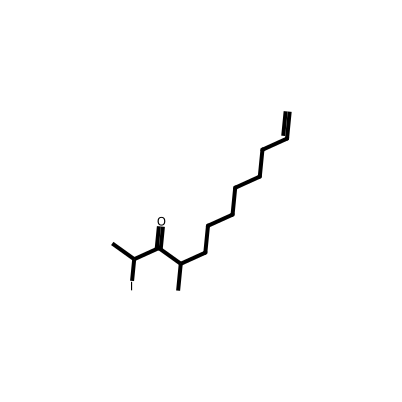 C=CCCCCCCC(C)C(=O)C(C)I